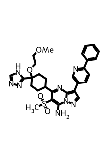 COCCOC1(c2nnc[nH]2)CCC(c2nc3c(-c4ccc(-c5ccccc5)nc4)cnn3c(N)c2S(C)(=O)=O)CC1